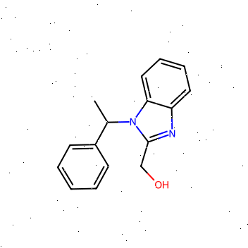 CC(c1ccccc1)n1c(CO)nc2ccccc21